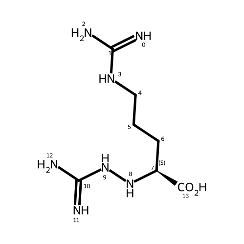 N=C(N)NCCC[C@H](NNC(=N)N)C(=O)O